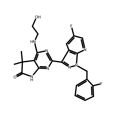 CC1(C)C(=O)Nc2nc(-c3nn(Cc4ccccc4F)c4ncc(F)cc34)nc(NCCO)c21